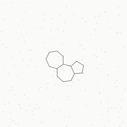 [CH]1CCC2C1CCCC1CCCCCC12